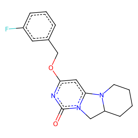 O=c1nc(OCc2cccc(F)c2)cc2n1CC1CCCCN21